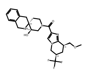 COC[C@H]1C[C@@H](C(F)(F)F)Cn2cc(C(=O)N3CC[C@]4(Cc5ccccc5CN4)[C@H](O)C3)nc21